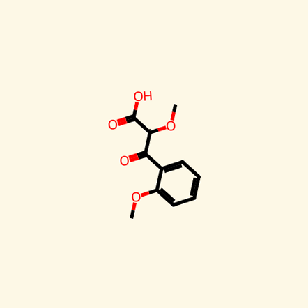 CO[C](C(=O)O)C(=O)c1ccccc1OC